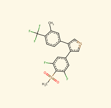 Cc1cc(-c2cscc2-c2cc(F)c(S(C)(=O)=O)c(F)c2)ccc1C(F)(F)F